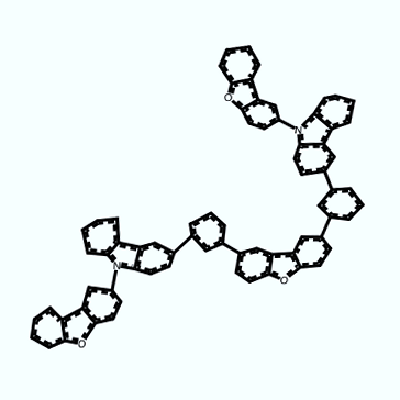 c1cc(-c2ccc3oc4ccc(-c5cccc(-c6ccc7c(c6)c6ccccc6n7-c6ccc7oc8ccccc8c7c6)c5)cc4c3c2)cc(-c2ccc3c(c2)c2ccccc2n3-c2ccc3oc4ccccc4c3c2)c1